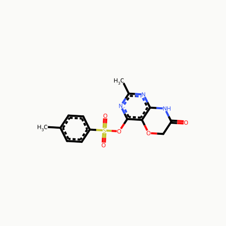 Cc1ccc(S(=O)(=O)Oc2nc(C)nc3c2OCC(=O)N3)cc1